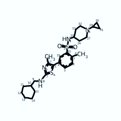 Cc1ccc(-c2sc(NCC3CCCCC3)nc2C)cc1S(=O)(=O)NC1CCN(C2CC2)CC1